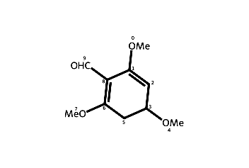 COC1=CC(OC)CC(OC)=C1C=O